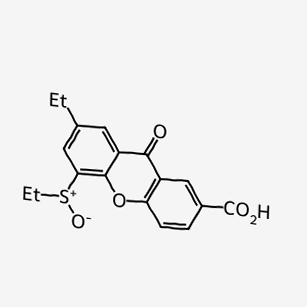 CCc1cc([S+]([O-])CC)c2oc3ccc(C(=O)O)cc3c(=O)c2c1